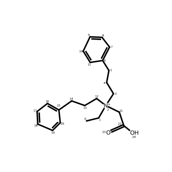 CC[N+](CCCc1ccccc1)(CCCc1ccccc1)CC(=O)O